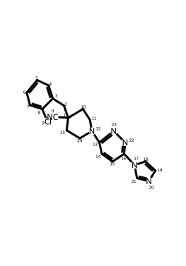 N#CC1(Cc2ccccc2Cl)CCN(c2ccc(-n3ccnc3)nn2)CC1